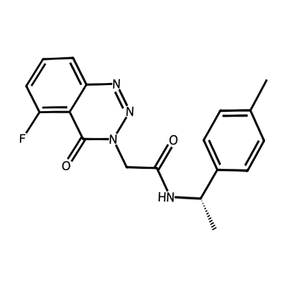 Cc1ccc([C@H](C)NC(=O)Cn2nnc3cccc(F)c3c2=O)cc1